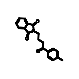 Cc1ccc(C(=O)CCCN2C(=O)c3ccccc3C2=O)cc1